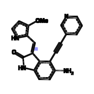 COc1cc[nH]c1/C=C1\C(=O)Nc2ccc(N)c(C#Cc3cccnc3)c21